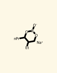 CCCC1OB([O-])OCC1CC.[Na+]